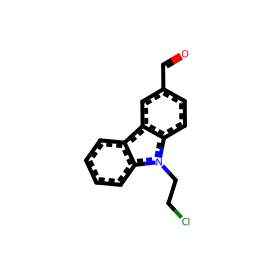 O=Cc1ccc2c(c1)c1ccccc1n2CCCl